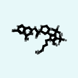 COCCCn1c(C)c(C(F)(F)F)c(C(F)(F)F)c1[C@@H]1CCCN(C(=O)C[C@@H](Cc2ccc(Br)cc2)NC(=O)O)C1